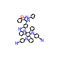 N#Cc1ccc(-n2c3ccccc3c3c2c2c4ccccc4n(-c4ccc(-c5nc(-c6ccccc6)nc6oc7ccccc7c56)cc4C#N)c2c2c4ccccc4n(-c4ccc(C#N)cc4)c32)cc1